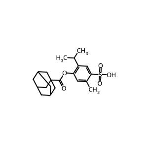 Cc1cc(OC(=O)C23CC4CC(CC(C4)C2)C3)c(C(C)C)cc1S(=O)(=O)O